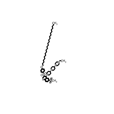 CCCCCCCCCCCCCCCCCCCCCCCCCCOc1ccc(S(=O)(=O)c2cnc3ccc(S(C)(=O)=O)cc3c2N2CCC(N3CCC(N4CCN(CC)CC4)CC3)CC2)cc1